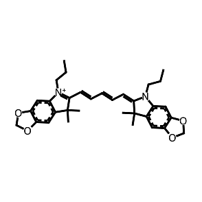 CCCN1/C(=C/C=C/C=C/C2=[N+](CCC)c3cc4c(cc3C2(C)C)OCO4)C(C)(C)c2cc3c(cc21)OCO3